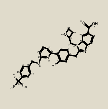 O=C(O)c1ccc2nc(Cc3ccc(-c4cccc(OCc5ccc(C(F)(F)F)cc5)n4)c(F)c3)n(CC3CCO3)c2c1